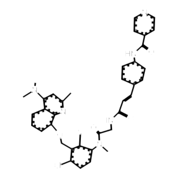 Cc1cc(N(C)C)c2cccc(OCc3c(Cl)ccc(N(C)C(=O)CNC(=O)C=Cc4ccc(NC(=O)c5ccncc5)cc4)c3Cl)c2n1